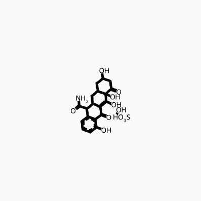 NC(=O)C1c2cccc(O)c2C(=O)C2=C(O)C3(O)C(=O)CC(O)CC3CC21.O=S(=O)(O)O